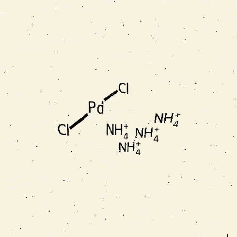 [Cl][Pd][Cl].[NH4+].[NH4+].[NH4+].[NH4+]